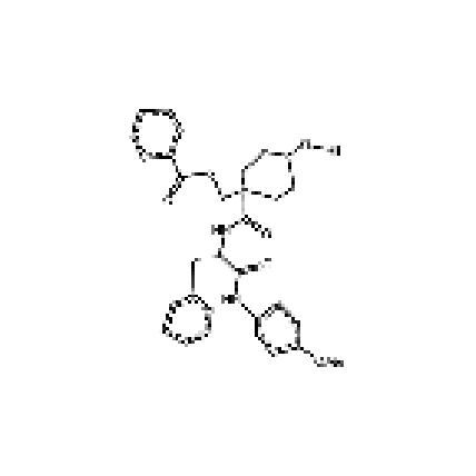 CCOC1CCC(CSC(=O)c2ccccc2)(C(=O)N[C@@H](Cc2ccccc2)C(=O)Nc2ccc(OC)cc2)CC1